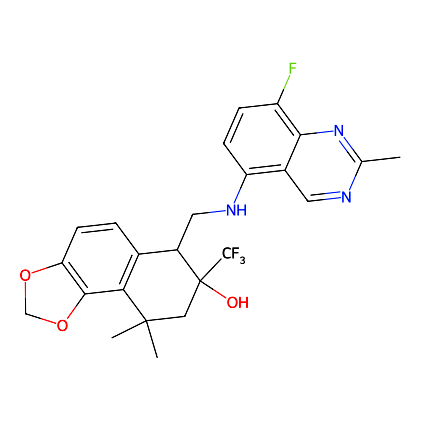 Cc1ncc2c(NCC3c4ccc5c(c4C(C)(C)CC3(O)C(F)(F)F)OCO5)ccc(F)c2n1